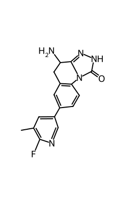 Cc1cc(-c2ccc3c(c2)CC(N)c2n[nH]c(=O)n2-3)cnc1F